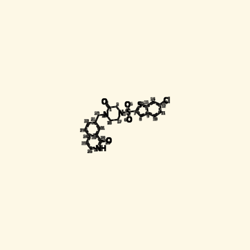 O=C1CN(S(=O)(=O)c2cc3ccc(Cl)cc3s2)CCN1Cc1ccc2cc[nH]c(=O)c2c1